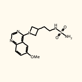 COc1ccc2ncnc(N3CC(CCNS(N)(=O)=O)C3)c2c1